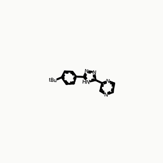 CC(C)(C)c1ccc(-c2nnc(-c3cnccn3)[nH]2)cc1